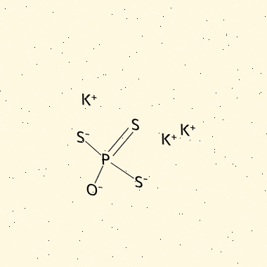 [K+].[K+].[K+].[O-]P(=S)([S-])[S-]